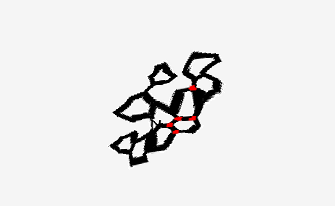 c1ccc(-c2ccccc2-c2c(-c3ccccc3)cccc2N(c2cccc(-c3ccc4ccccc4c3)c2)c2cccc3ccccc23)cc1